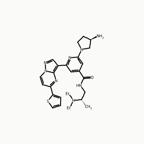 CCN(CC)[C@@H](C)CNC(=O)c1cc(-c2cnn3ccc(-c4cccs4)nc23)nc(N2CC[C@@H](N)C2)c1